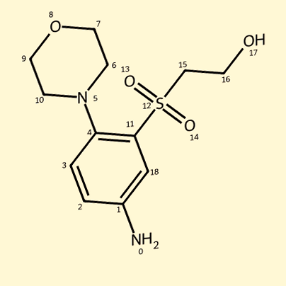 Nc1ccc(N2CCOCC2)c(S(=O)(=O)CCO)c1